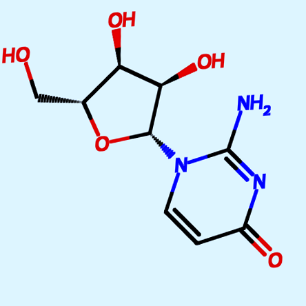 Nc1nc(=O)ccn1[C@@H]1O[C@H](CO)[C@@H](O)[C@H]1O